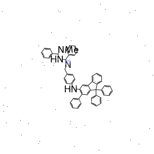 CNC(N/C(=N\Cc1ccc(Nc2cc3c(cc2-c2ccccc2)C(c2ccccc2)(c2ccccc2)c2ccccc2-3)cc1)c1ccccc1)c1ccccc1